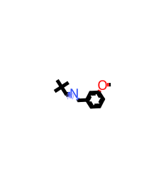 COc1cccc(C/N=C/C(C)(C)C)c1